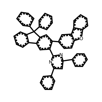 c1ccc(-c2cc(-c3ccccc3)nc(-c3cc4c(cc3-c3ccc5oc6ccccc6c5c3)C(c3ccccc3)(c3ccccc3)c3ccccc3-4)n2)cc1